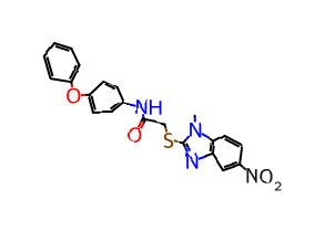 Cn1c(SCC(=O)Nc2ccc(Oc3ccccc3)cc2)nc2cc([N+](=O)[O-])ccc21